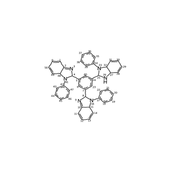 C1=CC2=NC(c3cc(C4N=C5C=CC=CC5N4c4ccccc4)cc(C4NC5C=CC=CC5N4c4ccccc4)c3)N(c3ccccc3)C2C=C1